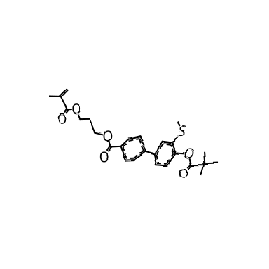 C=C(C)C(=O)OCCCOC(=O)c1ccc(-c2ccc(OC(=O)C(C)(C)C)c(SC)c2)cc1